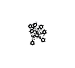 O=C(OCc1ccccc1)[C@@H]1C[C@@H](OCc2ccccc2)[C@@H](OCc2ccccc2)[C@@H]([C@@H](COC(c2ccccc2)(c2ccccc2)c2ccccc2)OCc2ccccc2)O1